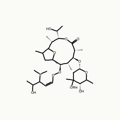 COC1(C)C[C@H](O[C@H]2[C@H](C)[C@@H](OO/C=C\C(C(C)O)N(C)C)[C@@]3(C)CC(C)C(O3)[C@H](C)[C@H](C(C)O)OC(=O)[C@@H]2C)OC(C)[C@@H]1O